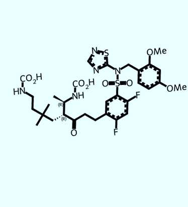 COc1ccc(CN(c2ncns2)S(=O)(=O)c2cc(CCC(=O)[C@H](CC(C)(C)CCNC(=O)O)[C@@H](C)NC(=O)O)c(F)cc2F)c(OC)c1